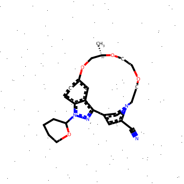 C[C@H]1COc2ccc3c(c2)c(nn3C2CCCCO2)-c2cc(C#N)n(c2)CCOCCO1